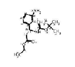 CCOC(=O)C[C@@H](NC(=O)OC(C)(C)C)c1cccc(N)c1